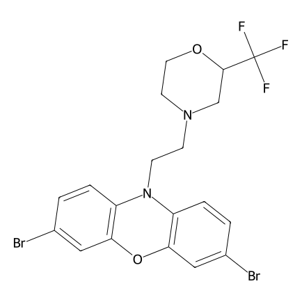 FC(F)(F)C1CN(CCN2c3ccc(Br)cc3Oc3cc(Br)ccc32)CCO1